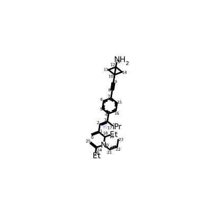 C=C(/C=C(/c1ccc(C#CC23CC2(N)C3)cc1)C(C)C)C(CC)N(/C=C\C)C(=C)CC